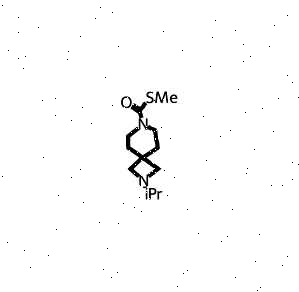 CSC(=O)N1CCC2(CC1)CN(C(C)C)C2